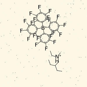 CCC(CC)C[NH+](C)CC.Fc1c(F)c(F)c([B-](c2c(F)c(F)c(F)c(F)c2F)(c2c(F)c(F)c(F)c(F)c2F)c2c(F)c(F)c(F)c(F)c2F)c(F)c1F